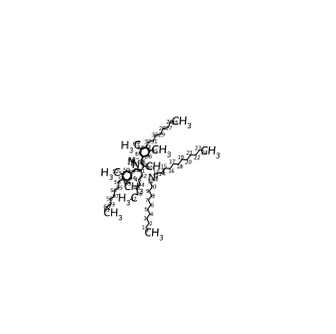 CCCCCCCCCCC[CH2][Ni][CH2]CCCCCCCCCCC.CCCCCCCCc1c(C)cc(C2=C(C)C(CCCCCC)=C(c3cc(C)c(CCCCCCCC)c(C)c3)[N+]2=[N-])cc1C